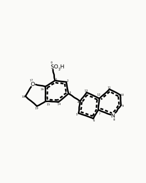 O=S(=O)(O)c1cc(-c2ccc3ncccc3c2)cc2c1OCC2